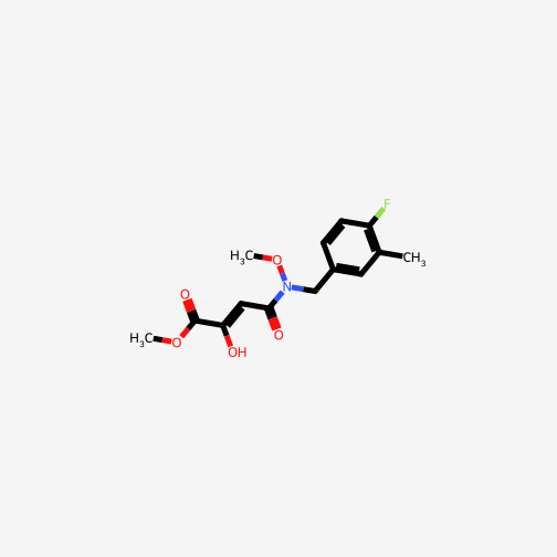 COC(=O)C(O)=CC(=O)N(Cc1ccc(F)c(C)c1)OC